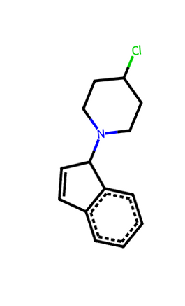 ClC1CCN(C2C=Cc3ccccc32)CC1